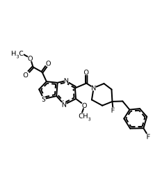 COC(=O)C(=O)c1csc2nc(OC)c(C(=O)N3CCC(F)(Cc4ccc(F)cc4)CC3)nc12